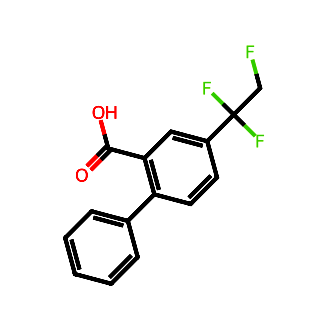 O=C(O)c1cc(C(F)(F)CF)ccc1-c1ccccc1